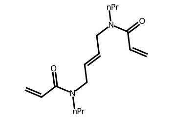 C=CC(=O)N(CC=CCN(CCC)C(=O)C=C)CCC